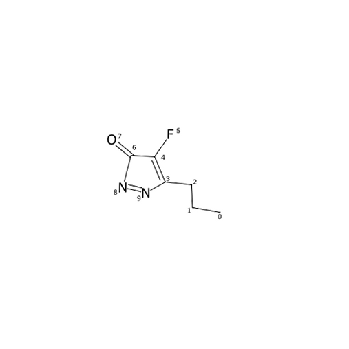 CCCC1=C(F)C(=O)N=N1